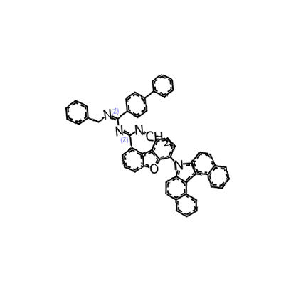 C=N/C(=N\C(=N/Cc1ccccc1)c1ccc(-c2ccccc2)cc1)c1cccc2oc3c(-n4c5ccc6ccccc6c5c5c6ccccc6ccc54)cccc3c12